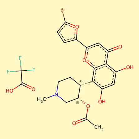 CC(=O)O[C@@H]1CN(C)CC[C@@H]1c1c(O)cc(O)c2c(=O)cc(-c3ccc(Br)o3)oc12.O=C(O)C(F)(F)F